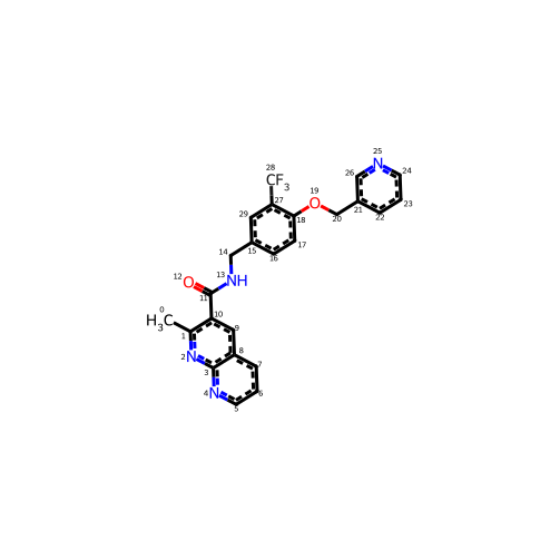 Cc1nc2ncccc2cc1C(=O)NCc1ccc(OCc2cccnc2)c(C(F)(F)F)c1